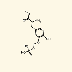 COC(=O)C(N)Cc1ccc(O)c(OCOP(=O)(O)O)c1